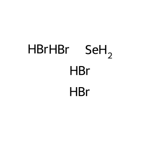 Br.Br.Br.Br.[SeH2]